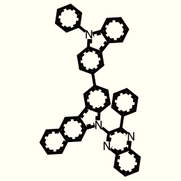 c1ccc(-c2nc3ccccc3nc2-n2c3ccc(-c4ccc5c(c4)c4ccccc4n5-c4ccccc4)cc3c3cc4ccccc4cc32)cc1